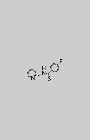 Fc1ccc(C(=S)NCc2ccccn2)cc1